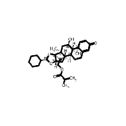 CC(C)C(=O)OCC(=O)[C@@]12O[C@H](C3CCCCC3)O[C@H]1C[C@H]1[C@@H]3CCC4=CC(=O)C=C[C@]4(C)[C@H]3[C@H](O)C[C@@]12C